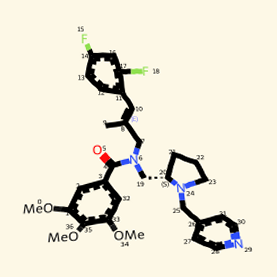 COc1cc(C(=O)N(C/C(C)=C/c2ccc(F)cc2F)C[C@@H]2CCCN2Cc2ccncc2)cc(OC)c1OC